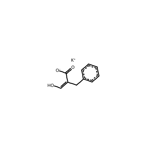 O=C([O-])C(=CO)Cc1ccccc1.[K+]